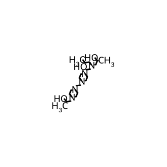 CC(O)CN1CCN(CCN2CCN(CCN(CC(C)O)CC(C)O)CC2)CC1